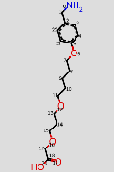 NCc1ccc(OCCCCCOCCCOCC(=O)O)cc1